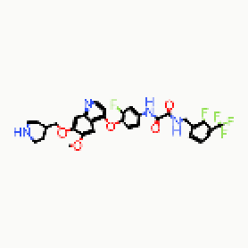 COc1cc2c(Oc3ccc(NC(=O)C(=O)NCc4cccc(C(F)(F)F)c4F)cc3F)ccnc2cc1OCC1CCNCC1